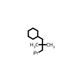 CC(C)CC(C)(C)[CH]C1CCCCC1